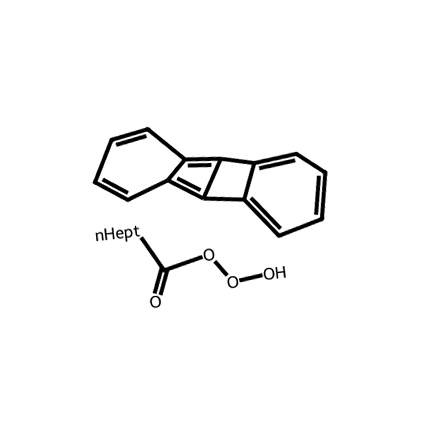 CCCCCCCC(=O)OOO.c1ccc2c3c4ccccc4c-3c2c1